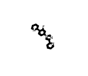 Fc1cc(-n2cnc(-c3ccccn3)c2)ccc1-c1ccccn1